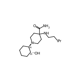 CC(C)CCNC1(C(N)=O)CCN([C@@H]2CCCC[C@H]2O)CC1